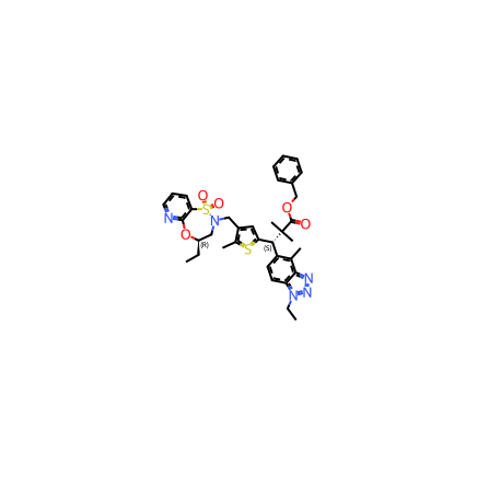 CC[C@@H]1CN(Cc2cc([C@@H](c3ccc4c(nnn4CC)c3C)C(C)(C)C(=O)OCc3ccccc3)sc2C)S(=O)(=O)c2cccnc2O1